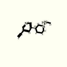 C#Cc1cncc([C@@H]2CCCN(NC)C2)c1